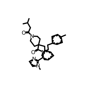 Cc1ccc(CCN(Cc2nccn2C)C(=O)C2(Cc3ccccc3)CCN(C(=O)CC(C)C)CC2)cc1